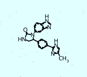 Cc1c[nH]c(-c2ccc(C3CNC(=O)N3c3ccc4[nH]cnc4c3)cc2)n1